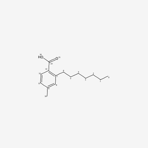 CCCCCCCc1cc(C)ccc1C(=O)O